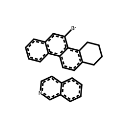 Brc1cc2ccccc2c2ccc3c(c12)CCCC3.c1ccc2cnccc2c1